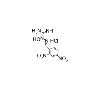 Cl.N=C(N)N(O)/N=C/c1ccc([N+](=O)[O-])cc1[N+](=O)[O-]